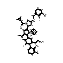 Cc1nc2c(F)c(-c3cccc(Cl)c3Cl)c(CCC#N)cc2c2c1cc(C1CC(OCc3cccc(C#N)c3F)CN1C(=O)C1CC1)n2C1C2CNC1C2